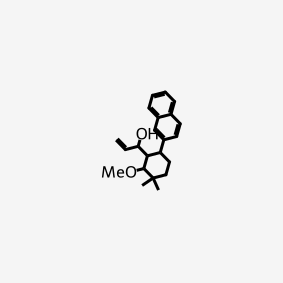 C=CC(O)C1C(c2ccc3ccccc3c2)CCC(C)(C)C1OC